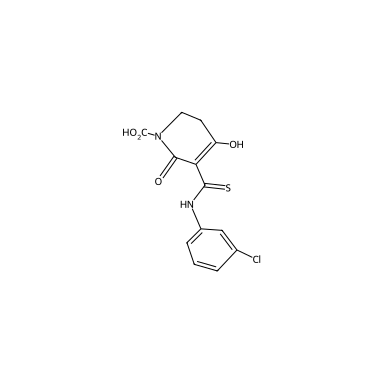 O=C(O)N1CCC(O)=C(C(=S)Nc2cccc(Cl)c2)C1=O